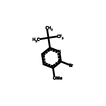 COc1ccc(C(C)(C)C(F)(F)F)nc1Br